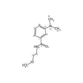 COCCNC(=O)c1cccc(N(C)C)c1